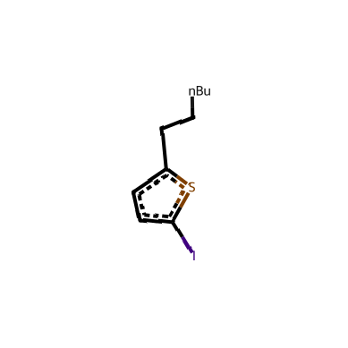 CCCCCCc1ccc(I)s1